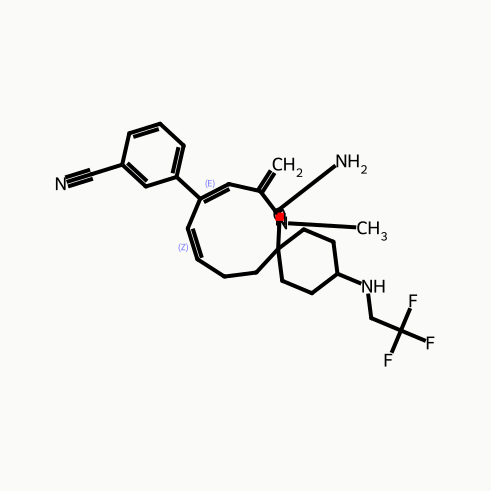 C=C1/C=C(c2cccc(C#N)c2)\C=C/CCC2(CCC(NCC(F)(F)F)CC2)C12N=C(N)N(C)O2